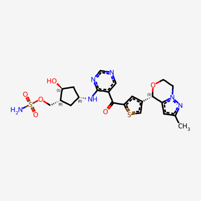 Cc1cc2n(n1)CCO[C@H]2c1csc(C(=O)c2cncnc2N[C@@H]2C[C@H](COS(N)(=O)=O)[C@@H](O)C2)c1